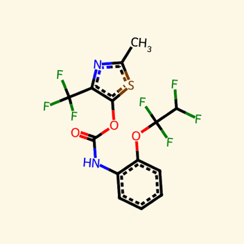 Cc1nc(C(F)(F)F)c(OC(=O)Nc2ccccc2OC(F)(F)C(F)F)s1